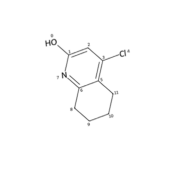 Oc1cc(Cl)c2c(n1)CCCC2